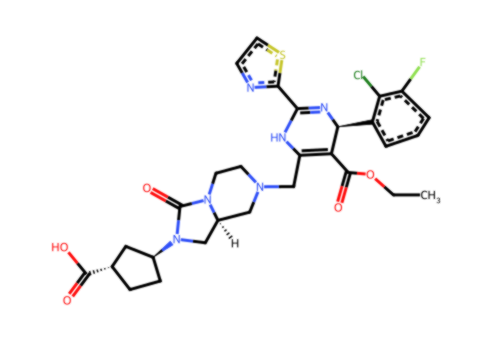 CCOC(=O)C1=C(CN2CCN3C(=O)N([C@H]4CC[C@H](C(=O)O)C4)C[C@@H]3C2)NC(c2nccs2)=N[C@H]1c1cccc(F)c1Cl